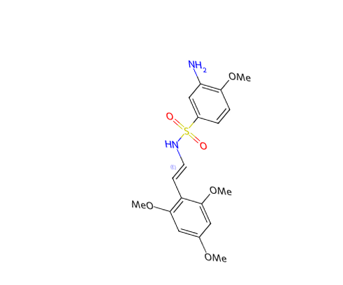 COc1cc(OC)c(/C=C/NS(=O)(=O)c2ccc(OC)c(N)c2)c(OC)c1